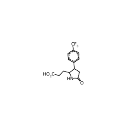 O=C(O)CCC1NC(=O)CC1c1ccc(C(F)(F)F)cc1